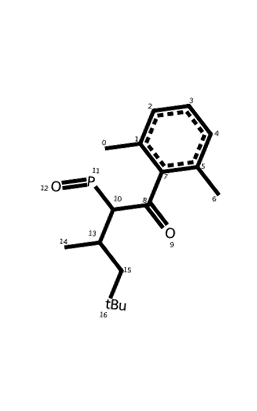 Cc1cccc(C)c1C(=O)C(P=O)C(C)CC(C)(C)C